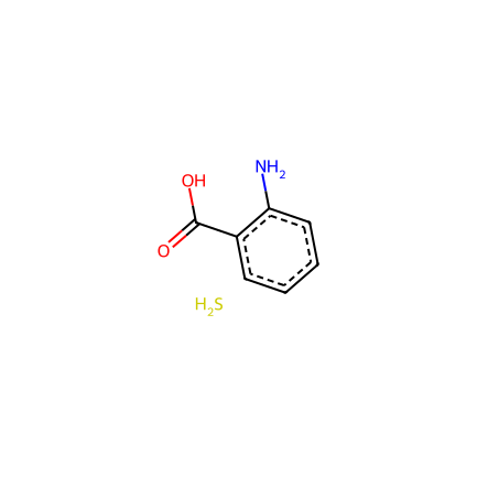 Nc1ccccc1C(=O)O.S